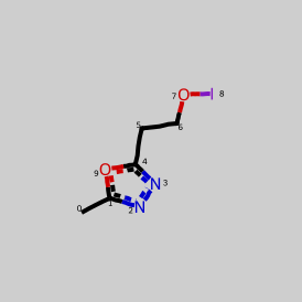 Cc1nnc(CCOI)o1